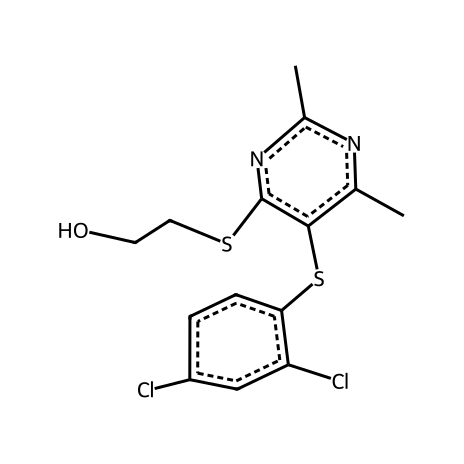 Cc1nc(C)c(Sc2ccc(Cl)cc2Cl)c(SCCO)n1